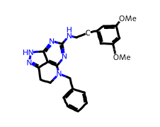 COc1cc(CCNc2nc3c4c(n[nH]c4n2)CCN3Cc2ccccc2)cc(OC)c1